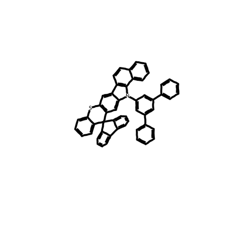 c1ccc(-c2cc(-c3ccccc3)cc(-n3c4cc5c(cc4c4ccc6ccccc6c43)Sc3ccccc3C53c4ccccc4-c4ccccc43)c2)cc1